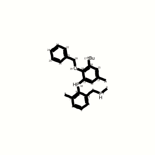 CPCc1cccc(C)c1Pc1cc(C)cc(C(C)(C)C)c1OCc1ccccc1